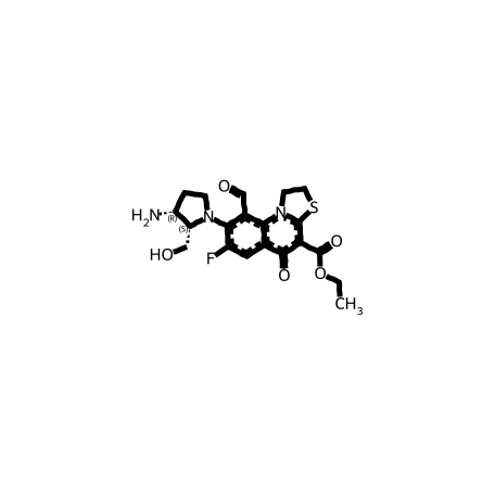 CCOC(=O)c1c2n(c3c(C=O)c(N4CC[C@@H](N)[C@H]4CO)c(F)cc3c1=O)CCS2